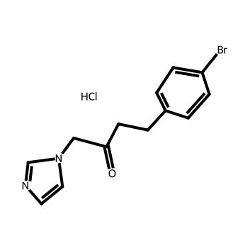 Cl.O=C(CCc1ccc(Br)cc1)Cn1ccnc1